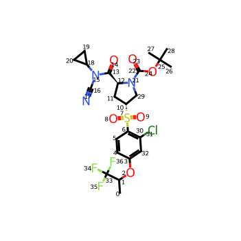 CC(Oc1ccc(S(=O)(=O)[C@@H]2C[C@@H](C(=O)N(C#N)C3CC3)N(C(=O)OC(C)(C)C)C2)c(Cl)c1)C(F)(F)F